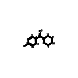 Cc1ccc(C(=S)C2CCCCC2)cc1